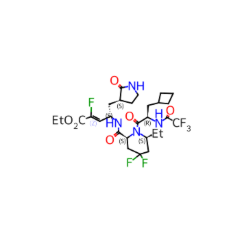 CCOC(=O)/C(F)=C/[C@H](C[C@@H]1CCNC1=O)NC(=O)[C@@H]1CC(F)(F)C[C@H](CC)N1C(=O)[C@@H](CC1CCC1)NC(=O)C(F)(F)F